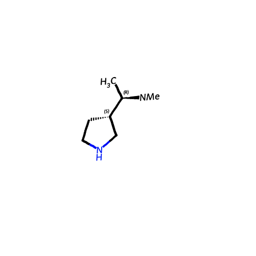 CN[C@H](C)[C@H]1CCNC1